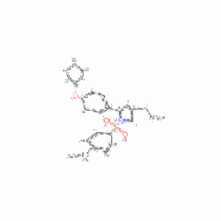 CNCc1cc(-c2ccc(Oc3ccccc3)cc2)n(S(=O)(=O)c2ccc(OC)cc2)c1